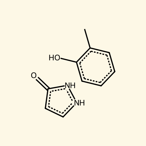 Cc1ccccc1O.O=c1cc[nH][nH]1